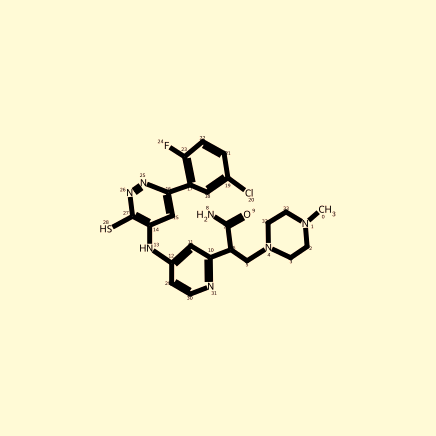 CN1CCN(CC(C(N)=O)c2cc(Nc3cc(-c4cc(Cl)ccc4F)nnc3S)ccn2)CC1